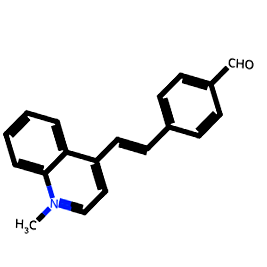 C[n+]1ccc(C=Cc2ccc(C=O)cc2)c2ccccc21